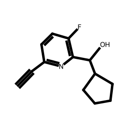 C#Cc1ccc(F)c(C(O)C2CCCC2)n1